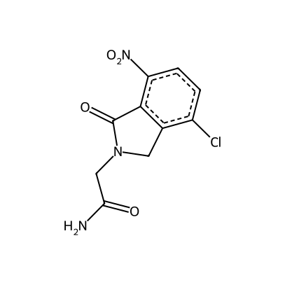 NC(=O)CN1Cc2c(Cl)ccc([N+](=O)[O-])c2C1=O